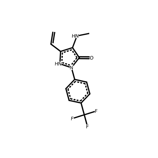 C=Cc1[nH]n(-c2ccc(C(F)(F)F)cc2)c(=O)c1NC